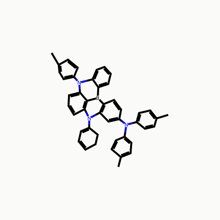 Cc1ccc(N(c2ccc(C)cc2)c2ccc3c(c2)N(C2=CC=CCC2)c2cccc4c2B3c2ccccc2N4c2ccc(C)cc2)cc1